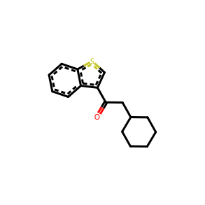 O=C(CC1CCCCC1)c1csc2ccccc12